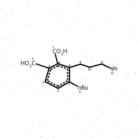 CCCCc1ccc(C(=O)O)c(C(=O)O)c1CCCC(C)C